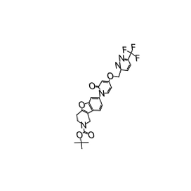 CC(C)(C)OC(=O)N1CCc2oc3cc(-n4ccc(OCc5ccc(C(F)(F)F)nn5)cc4=O)ccc3c2C1